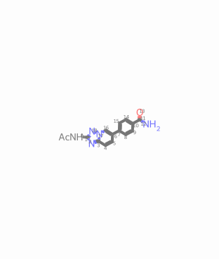 CC(=O)Nc1nc2ccc(-c3ccc(C(N)=O)cc3)cn2n1